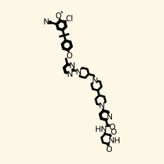 COc1c(Cl)cc(C(C)(C)c2ccc(OCc3ccnc(N4CCC(CN5CCC(C6CCN(c7ccc(C(=O)NC8CCC(=O)NC8=O)nc7)CC6)CC5)CC4)n3)cc2)cc1C#N